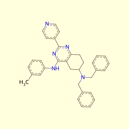 Cc1cccc(Nc2nc(-c3ccncc3)nc3c2CC(N(Cc2ccccc2)Cc2ccccc2)CC3)c1